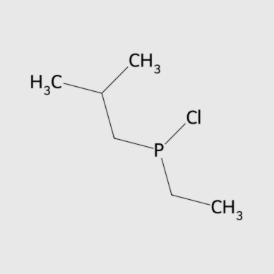 CCP(Cl)CC(C)C